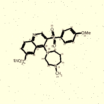 CCOC(=O)c1ccc2ncc(S(=O)(=O)c3ccc(OC)cc3)c(N3CCCN(C)CC3)c2c1